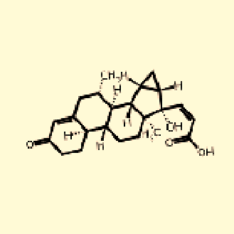 C[C@H]1CC2=CC(=O)CC[C@@H]2[C@H]2CC[C@@]3(C)[C@@H]([C@@H]4C[C@@H]4[C@@]3(O)/C=C\C(=O)O)[C@@H]21